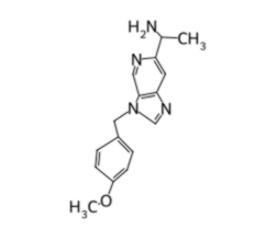 COc1ccc(Cn2cnc3cc(C(C)N)ncc32)cc1